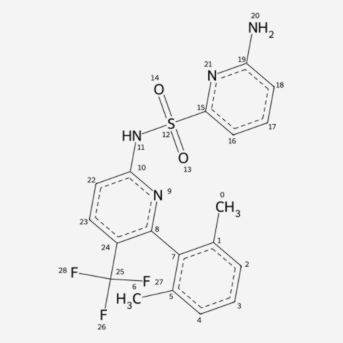 Cc1cccc(C)c1-c1nc(NS(=O)(=O)c2cccc(N)n2)ccc1C(F)(F)F